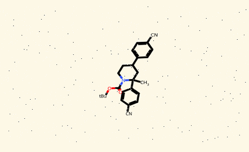 CC(C)(C)OC(=O)N1CCC(c2ccc(C#N)cc2)CC1(C)c1ccc(C#N)cc1